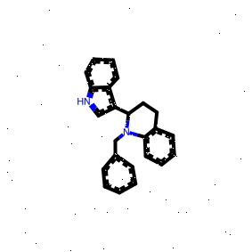 c1ccc(CN2c3ccccc3CCC2c2c[nH]c3ccccc23)cc1